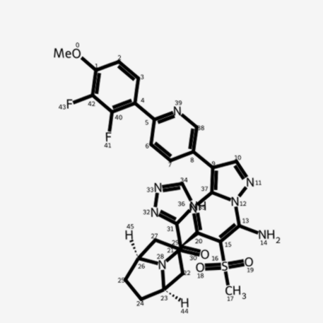 COc1ccc(-c2ccc(-c3cnn4c(N)c(S(C)(=O)=O)c([C@H]5C[C@H]6CC[C@@H](C5)N6C(=O)c5nnc[nH]5)nc34)cn2)c(F)c1F